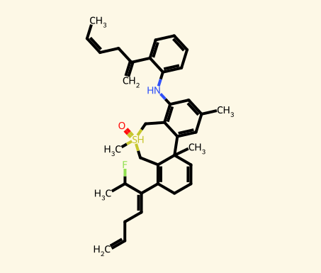 C=CC/C=C(/C1=C2C[SH](C)(=O)Cc3c(Nc4ccccc4C(=C)C/C=C\C)cc(C)cc3C2(C)C=CC1)C(C)F